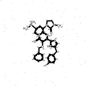 CN1CCN(c2cc(N(C)C)cn3c(=O)c(OCc4ccccc4)c(-c4ncc(Cc5ccc(F)cc5)[nH]4)nc23)C1=O